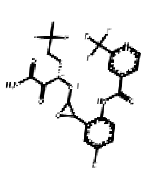 CC(F)(F)CC[C@H](NC1OC1c1cc(Cl)ccc1NC(=O)c1ccnc(C(F)(F)F)c1)C(=O)C(N)=O